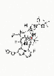 COCOc1cc(-c2nc(N(C)C(C)C)c3c(C4[C@H]5CN(C(=O)OC(C)(C)C)C[C@@H]45)nn(C4CC4)c3c2F)c2c(C#C[Si](C(C)C)(C(C)C)C(C)C)c(F)ccc2c1